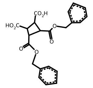 O=C(O)C1C(C(=O)O)C(C(=O)OCc2ccccc2)C1C(=O)OCc1ccccc1